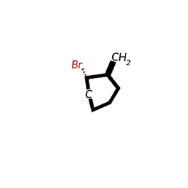 C=C1CCCC[C@@H]1Br